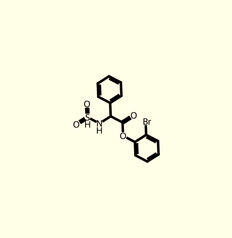 O=C(Oc1ccccc1Br)C(N[SH](=O)=O)c1ccccc1